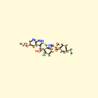 COc1cnc2[nH]cc(C(O)c3c(F)ccc(NS(=O)(=O)c4ccc(CF)cc4)c3F)c2c1